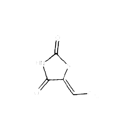 CC=C1SC(=O)NC1=O